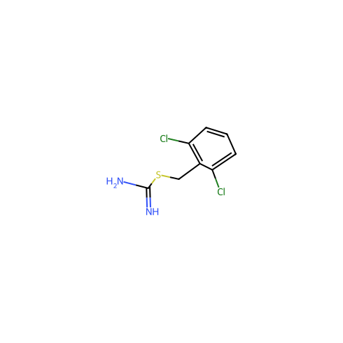 N=C(N)SCc1c(Cl)cccc1Cl